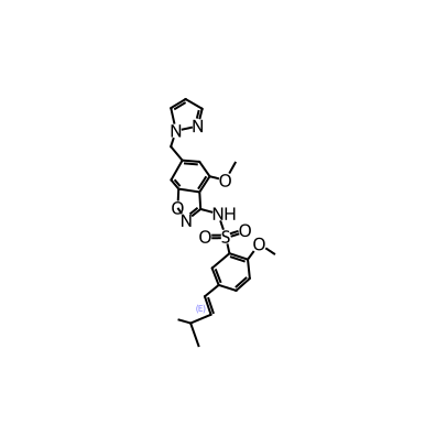 COc1ccc(/C=C/C(C)C)cc1S(=O)(=O)Nc1noc2cc(Cn3cccn3)cc(OC)c12